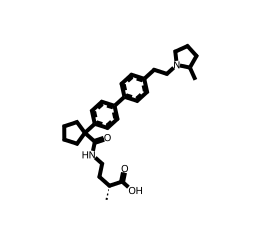 CC1CCCN1CCc1ccc(-c2ccc(C3(C(=O)NCC[C@@H](C)C(=O)O)CCCC3)cc2)cc1